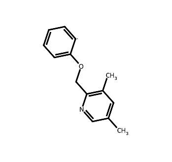 Cc1cnc(COc2[c]cccc2)c(C)c1